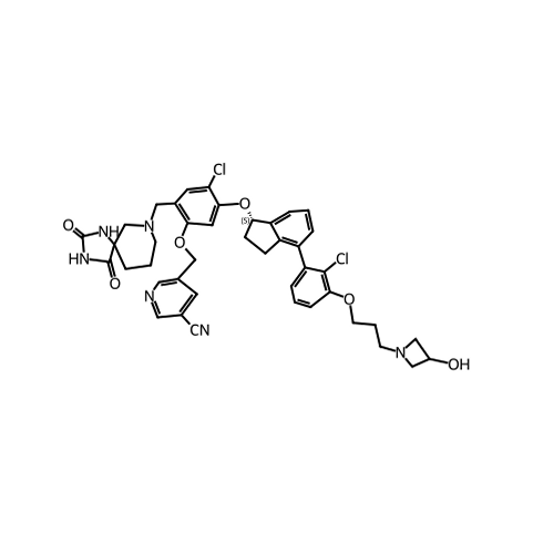 N#Cc1cncc(COc2cc(O[C@H]3CCc4c(-c5cccc(OCCCN6CC(O)C6)c5Cl)cccc43)c(Cl)cc2CN2CCCC3(C2)NC(=O)NC3=O)c1